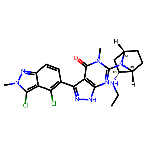 CCN[C@@H]1C[C@@H]2CC[C@H]1N2c1nc2[nH]nc(-c3ccc4nn(C)c(Cl)c4c3Cl)c2c(=O)n1C